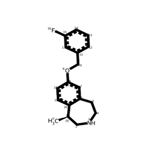 C[C@@H]1CNCCc2cc(OCc3cccc(F)c3)ccc21